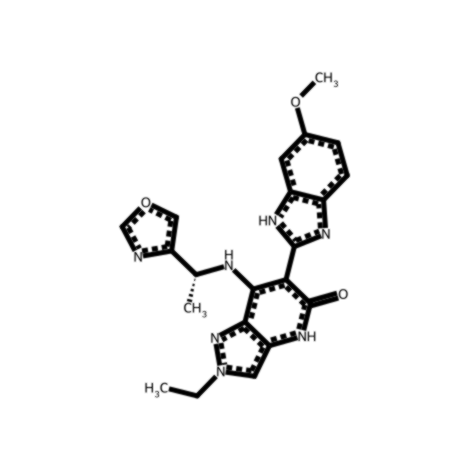 CCn1cc2[nH]c(=O)c(-c3nc4ccc(OC)cc4[nH]3)c(N[C@H](C)c3cocn3)c2n1